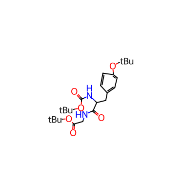 CC(C)(C)OC(=O)CNC(=O)C(Cc1ccc(OC(C)(C)C)cc1)NC(=O)OC(C)(C)C